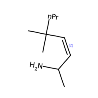 CCCC(C)(C)/C=C\C(C)N